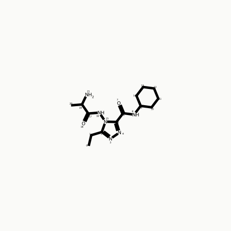 CCc1nnc(C(=O)NC2CCCCC2)n1NC(=O)C(C)N